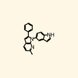 Cc1ccc2cc(-c3ccccc3)n(-c3ccc4[nH]ccc4c3)c2n1